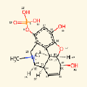 CN1CC[C@]23c4c5c(OP(=O)(O)O)cc(O)c4O[C@H]2[C@@H](O)C=C[C@H]3[C@H]1C5